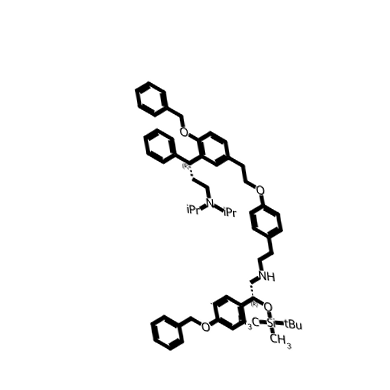 CC(C)N(CC[C@H](c1ccccc1)c1cc(CCOc2ccc(CCNC[C@H](O[Si](C)(C)C(C)(C)C)c3c[c]c(OCc4ccccc4)cc3)cc2)ccc1OCc1ccccc1)C(C)C